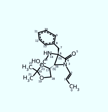 CC=CN1C(=O)[C@@](Cc2ccccc2)(NC(=O)O)[C@H]1C1COC(C)(C)O1